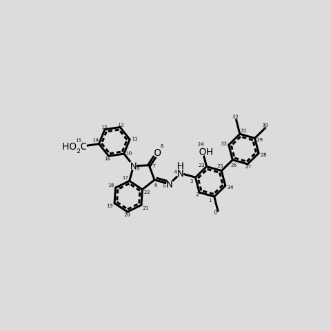 Cc1cc(NN=C2C(=O)N(c3cccc(C(=O)O)c3)c3ccccc32)c(O)c(-c2ccc(C)c(C)c2)c1